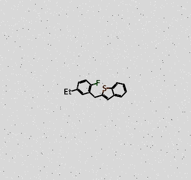 CCc1ccc(F)c(Cc2cc3ccccc3s2)c1